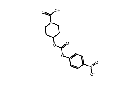 O=C(Oc1ccc([N+](=O)[O-])cc1)OC1CCN(C(=O)O)CC1